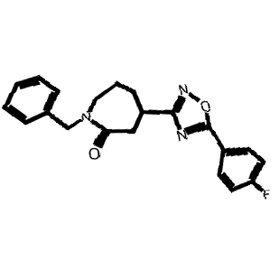 O=C1CC(c2noc(-c3ccc(F)cc3)n2)CCCN1Cc1ccccc1